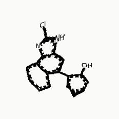 Oc1ccccc1-c1cc2[nH]c(Cl)nc2c2ccccc12